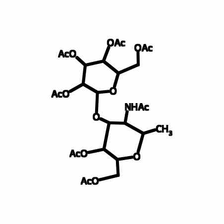 CC(=O)NC1C(C)OC(COC(C)=O)C(OC(C)=O)C1OC1OC(COC(C)=O)C(OC(C)=O)C(OC(C)=O)C1OC(C)=O